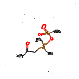 CCCCS(=O)(=O)OS(CC)(CC)CC(=O)CCC